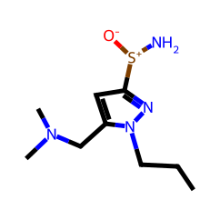 CCCn1nc([S+](N)[O-])cc1CN(C)C